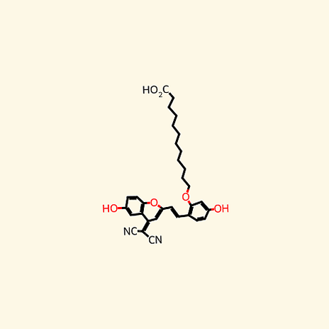 N#CC(C#N)=C1C=C(C=Cc2ccc(O)cc2OCCCCCCCCCCCC(=O)O)Oc2ccc(O)cc21